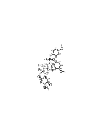 COc1ccc(OP(=S)(OC[C@@]2(C(F)F)O[C@@H](n3cc(Cl)c(N)nc3=O)C(F)(F)[C@@H]2O)Oc2ccc(OC)cc2)cc1